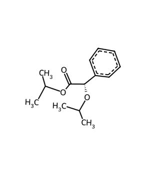 CC(C)OC(=O)[C@@H](OC(C)C)c1ccccc1